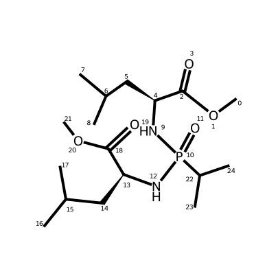 COC(=O)[C@H](CC(C)C)NP(=O)(N[C@@H](CC(C)C)C(=O)OC)C(C)C